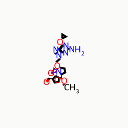 CCOC(=O)[C@@H]1CCCN1P(=O)(COCCn1cnc2c(OC3CC3)nc(N)nc21)C1CCC[C@H]1C=O